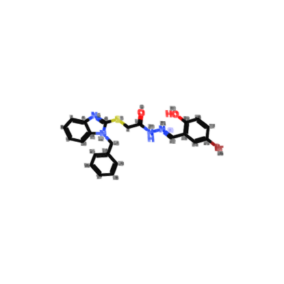 O=C(CSc1nc2ccccc2n1Cc1ccccc1)N/N=C/c1cc(Br)ccc1O